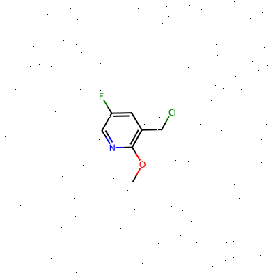 COc1ncc(F)cc1CCl